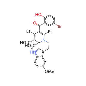 CCC1=C(C(=O)O)C2(C(=O)O)c3[nH]c4ccc(OC)cc4c3CCN2C(CC)=C1C(=O)c1cc(Br)ccc1O